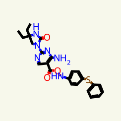 CCC1(CC)CN(c2ncc(C(=O)ONc3ccc(Sc4ccccc4)cc3)c(N)n2)C(=O)N1